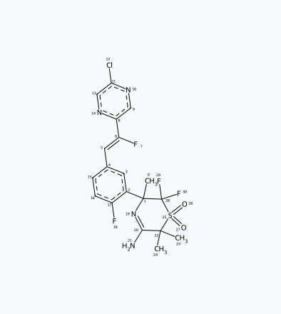 CC1(c2cc(C=C(F)c3cnc(Cl)cn3)ccc2F)N=C(N)C(C)(C)S(=O)(=O)C1(F)F